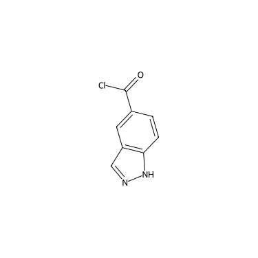 O=C(Cl)c1ccc2[nH]ncc2c1